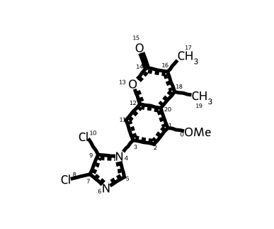 COc1cc(-n2cnc(Cl)c2Cl)cc2oc(=O)c(C)c(C)c12